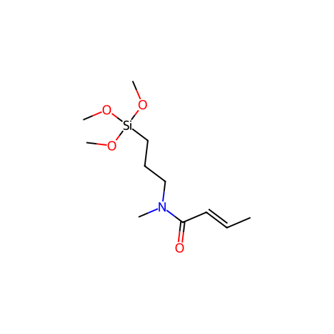 CC=CC(=O)N(C)CCC[Si](OC)(OC)OC